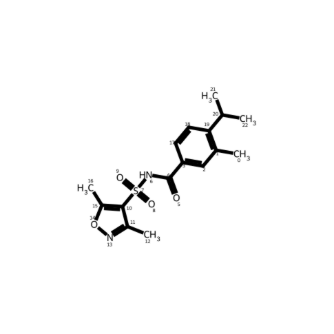 Cc1cc(C(=O)NS(=O)(=O)c2c(C)noc2C)ccc1C(C)C